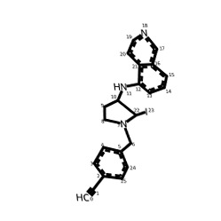 C#Cc1ccc(CN2CCC(Nc3cccc4cnccc34)C2I)cc1